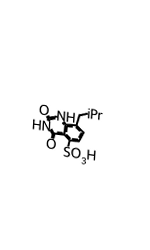 CC(C)Cc1ccc(S(=O)(=O)O)c2c(=O)[nH]c(=O)[nH]c12